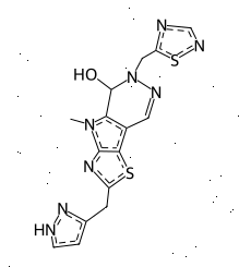 Cn1c2c(c3sc(Cc4cc[nH]n4)nc31)C=NN(Cc1ncns1)C2O